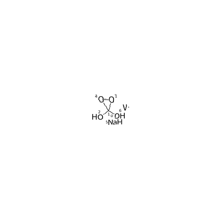 OC1(O)OO1.[NaH].[V]